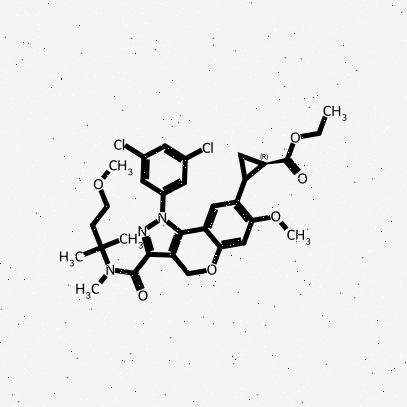 CCOC(=O)[C@@H]1CC1c1cc2c(cc1OC)OCc1c(C(=O)N(C)C(C)(C)CCOC)nn(-c3cc(Cl)cc(Cl)c3)c1-2